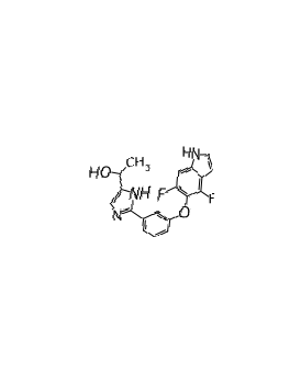 CC(O)c1cnc(-c2cccc(Oc3c(F)cc4[nH]ccc4c3F)c2)[nH]1